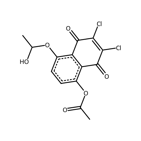 CC(=O)Oc1ccc(OC(C)O)c2c1C(=O)C(Cl)=C(Cl)C2=O